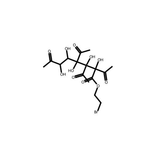 CC(=O)C(O)C(O)C(O)(C(C)=O)C(O)(C(C)=O)C(O)(C(C)=O)C(=O)OCCBr